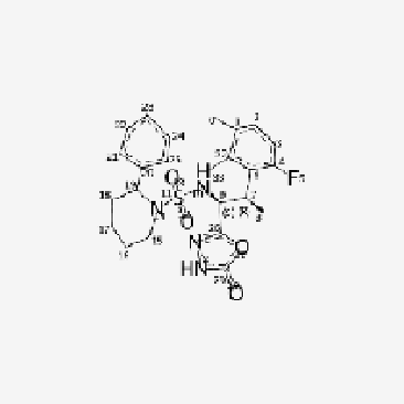 Cc1ccc(F)c([C@@H](C)[C@H](NS(=O)(=O)N2CCCCC2c2ccccc2)c2n[nH]c(=O)o2)c1C